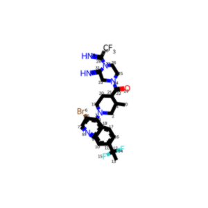 CC1CN(c2c(Br)cnc3cc(C(C)(F)F)ccc23)CCC1C(=O)N1CCN(C(=N)C(F)(F)F)C(=N)C1